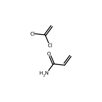 C=C(Cl)Cl.C=CC(N)=O